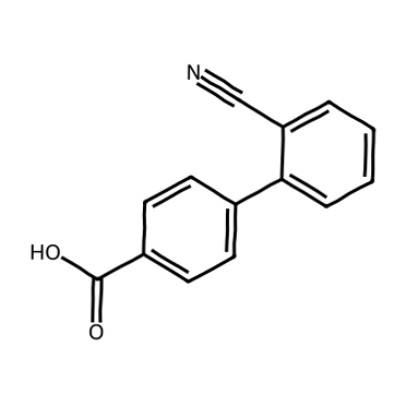 N#Cc1ccccc1-c1ccc(C(=O)O)cc1